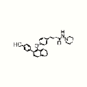 O=C(CC=Cc1ccc(Oc2c(-c3ccc(O)cc3)ccc3ccccc23)cc1)NN1CCCCC1